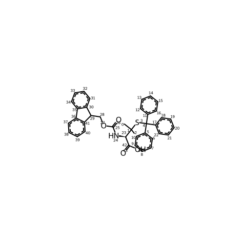 CC(C)(SC(c1ccccc1)(c1ccccc1)c1ccccc1)[C@H](NC(=O)OCC1c2ccccc2-c2ccccc21)C(=O)O